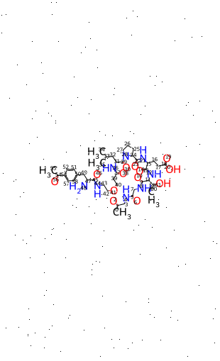 CC(=O)CNC(=O)CNC(=O)C(NC(=O)C(CCC(=O)O)NC(=O)C1CCCN1C(=O)C(CC(C)C)NC(=O)CCOCCNC(=O)C(N)Cc1ccc(C(C)=O)cc1)C(C)O